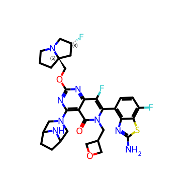 Nc1nc2c(-c3c(F)c4nc(OC[C@@]56CCCN5C[C@H](F)C6)nc(N5CC6CCC(C5)N6)c4c(=O)n3CC3COC3)ccc(F)c2s1